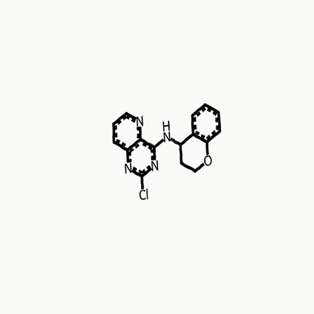 Clc1nc(NC2CCOc3ccccc32)c2ncccc2n1